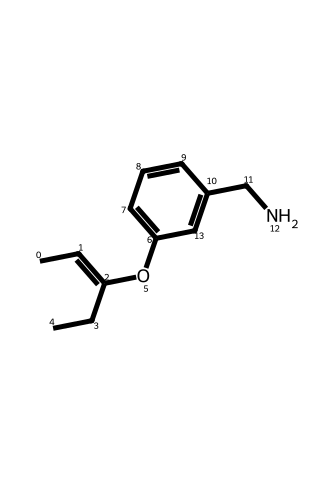 CC=C(CC)Oc1cccc(CN)c1